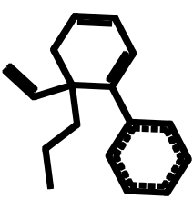 C=CC1(CCC)CC=CC=C1c1ccccc1